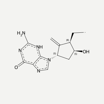 [CH2]C[C@@H]1C(=C)[C@@H](n2cnc3c(=O)nc(N)[nH]c32)C[C@@H]1O